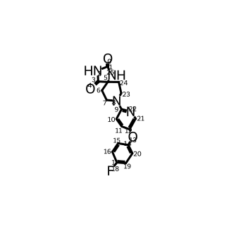 O=C1NC(=O)C2(CCN(c3ccc(Oc4ccc(F)cc4)cn3)CC2)N1